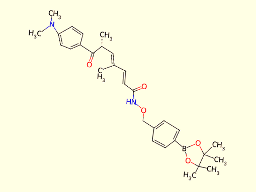 CC(/C=C/C(=O)NOCc1ccc(B2OC(C)(C)C(C)(C)O2)cc1)=C\[C@@H](C)C(=O)c1ccc(N(C)C)cc1